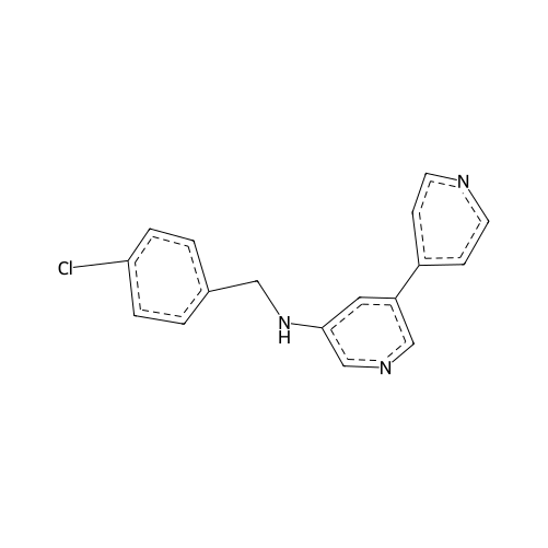 Clc1ccc(CNc2cncc(-c3ccncc3)c2)cc1